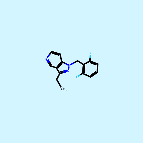 CCc1nn(Cc2c(F)cccc2F)c2ccncc12